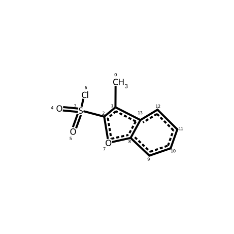 Cc1c(S(=O)(=O)Cl)oc2ccccc12